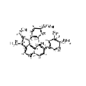 COc1ccc(-n2c(=NC#N)n(C)c3cnc4ccc(-c5cnc(N)c(C(F)(F)F)c5)cc4c32)c(C)n1